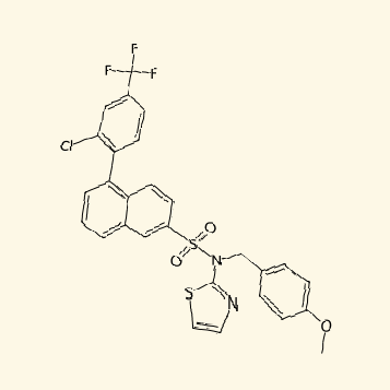 COc1ccc(CN(c2nccs2)S(=O)(=O)c2ccc3c(-c4ccc(C(F)(F)F)cc4Cl)cccc3c2)cc1